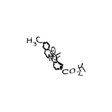 Cc1ccc2c(c1)C=CN(c1ccc(C(=O)O)cc1F)S2(=O)=O